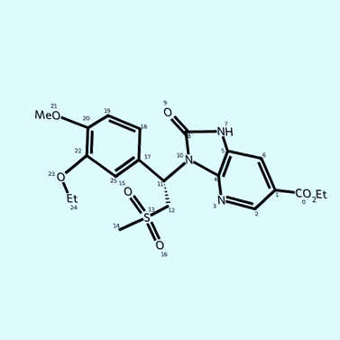 CCOC(=O)c1cnc2c(c1)[nH]c(=O)n2[C@H](CS(C)(=O)=O)c1ccc(OC)c(OCC)c1